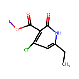 CCc1cc(Cl)c(C(=O)OI)c(=O)[nH]1